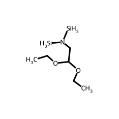 CCOC(CN([SiH3])[SiH3])OCC